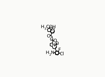 CC1(O)CCc2c(C(=O)COC(=O)C3CCC4CC(c5c(N)ccc(Cl)c5F)=CC(=O)N43)ccnc21